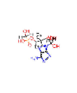 CCC(OP(=O)(O)C(O)(CC)CC)C1(C)c2nc3c(N)ncnc3n2C2(O)COC1[C@H]2O